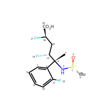 CC(C)(C)[S@@+]([O-])N[C@](C)(c1ccccc1F)[C@H](F)C[C@@H](F)C(=O)O